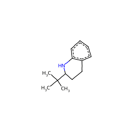 CC(C)(C)C1CCc2ccccc2N1